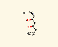 O=[C]/C=C\C(=O)CC(=O)CC(=O)O